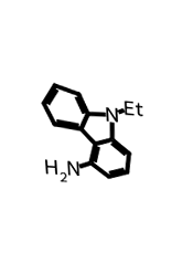 CCn1c2ccccc2c2c(N)cccc21